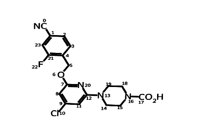 N#Cc1ccc(COc2cc(Cl)cc(N3CCN(C(=O)O)CC3)n2)c(F)c1